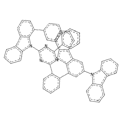 c1ccc(-c2nc(-c3ccccc3-c3cc(-n4c5ccccc5c5ccccc54)cc4c3sc3ccccc34)nc(-n3c4ccccc4c4cccc(-c5ccccc5)c43)n2)cc1